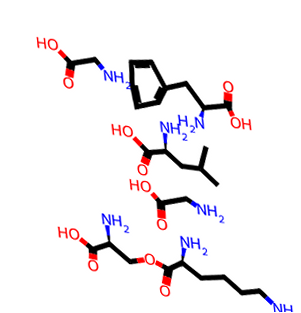 CC(C)C[C@H](N)C(=O)O.NCC(=O)O.NCC(=O)O.NCCCC[C@H](N)C(=O)OC[C@H](N)C(=O)O.N[C@@H](Cc1ccccc1)C(=O)O